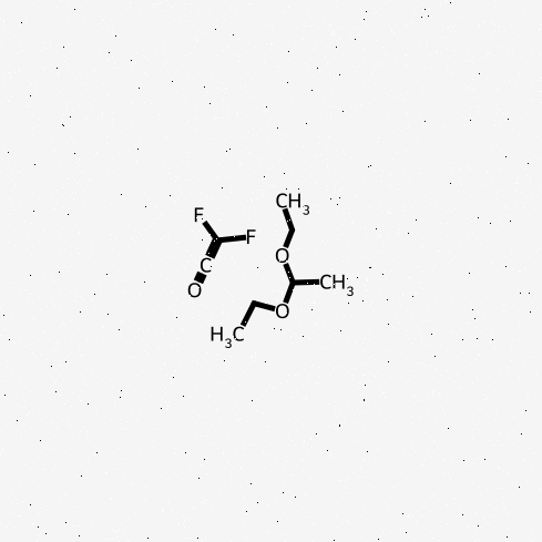 CCOC(C)OCC.O=C=C(F)F